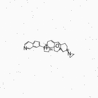 C[C@]12CC=C3C=C4CC[C@@H](N5CC5)C[C@]45CCC3(O5)[C@@H]1CCC2c1ccc2ccncc2c1